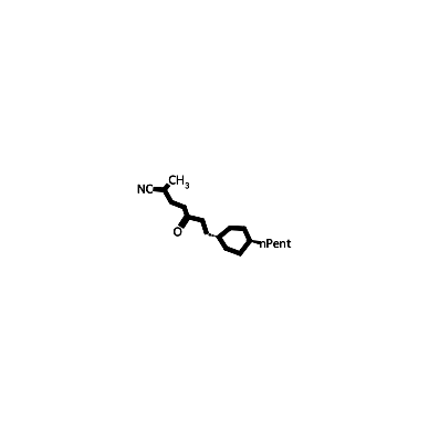 CCCCC[C@H]1CC[C@H](CCC(=O)CCC(C)C#N)CC1